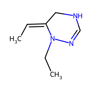 C/C=C1/CNC=NN1CC